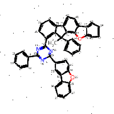 CC1(c2ccccc2)c2c(-c3nc(-c4ccccc4)nc(-c4ccc5oc6ccccc6c5c4)n3)cccc2-c2ccc3c(oc4ccccc43)c21